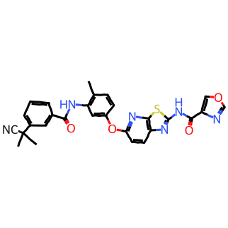 Cc1ccc(Oc2ccc3nc(NC(=O)c4cocn4)sc3n2)cc1NC(=O)c1cccc(C(C)(C)C#N)c1